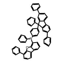 c1ccc(-c2ccc3c(c2)C(c2ccccc2)(c2ccc(N(c4ccccc4)c4cccc5c4oc4c(-c6ccccc6)cccc45)cc2)c2cc(-c4ccccc4)ccc2-3)cc1